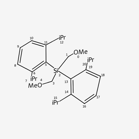 COC[Si](COC)(c1c(C(C)C)cccc1C(C)C)c1c(C(C)C)cccc1C(C)C